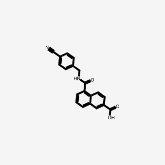 N#Cc1ccc(CNC(=O)c2cccc3cc(C(=O)O)ccc23)cc1